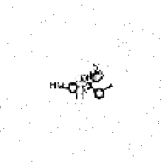 C#Cc1cccc(-c2nc(-c3c(Cl)cc(CO)cc3Cl)n(O)c2-c2ccnc(SC)n2)c1